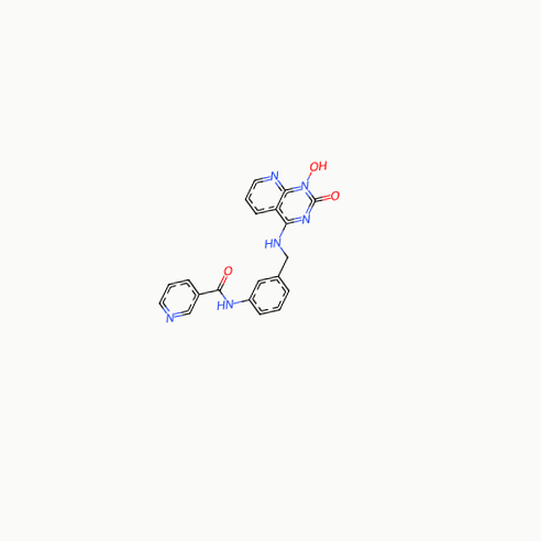 O=C(Nc1cccc(CNc2nc(=O)n(O)c3ncccc23)c1)c1cccnc1